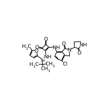 Cc1ccc([C@H](Nc2c(Nc3ccc(Cl)c4c3C(=O)N(C3CCNC3=O)C4)c(=O)c2=O)C(C)(C)C)o1